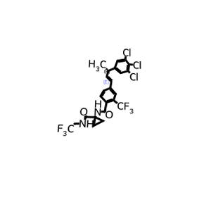 C[C@H](/C=C/c1ccc(C(=O)NC2(C(=O)NCC(F)(F)F)CC2)c(C(F)(F)F)c1)c1cc(Cl)c(Cl)c(Cl)c1